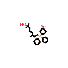 CC(C=CCC(C)(C)O)=CC[P+](c1ccccc1)(c1ccccc1)c1ccccc1.[Br-]